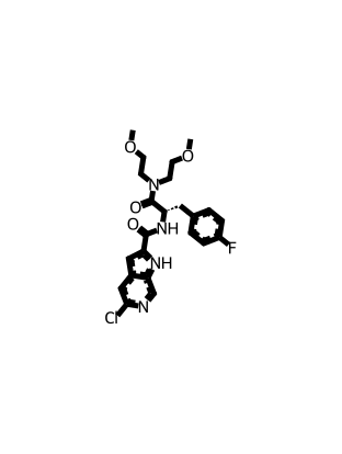 COCCN(CCOC)C(=O)[C@H](Cc1ccc(F)cc1)NC(=O)c1cc2cc(Cl)ncc2[nH]1